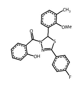 COc1c(C)cccc1C1SC(c2ccc(F)cc2)=NN1C(=O)c1ccccc1O